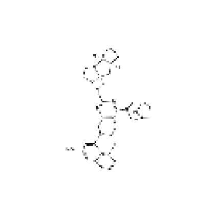 Oc1cc(N2CCc3c(nc(OC[C@]45CCCN4[C@H]4CCC[C@H]4C5)nc3N3CC4CCC(C3)N4)C2)c2c(F)cccc2c1